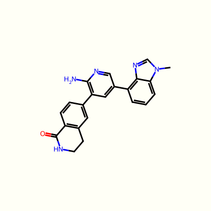 Cn1cnc2c(-c3cnc(N)c(-c4ccc5c(c4)CCNC5=O)c3)cccc21